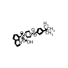 CC(C)(C)c1ccc(S(=O)(=O)N2CCN(S(=O)(=O)c3cccc4cccnc34)[C@@H](C(=O)O)C2)cc1